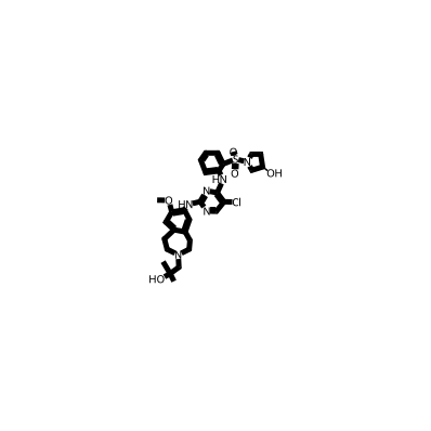 COc1cc2c(cc1Nc1ncc(Cl)c(Nc3ccccc3S(=O)(=O)N3CC[C@H](O)C3)n1)CCN(CC(C)(C)O)CC2